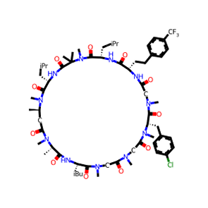 CCC(C)[C@@H]1NC(=O)[C@H](C)N(C)C(=O)C[C@@H](C)N(C)C(=O)[C@H](CC(C)C)NC(=O)C(C)(C)N(C)C(=O)[C@H](CC(C)C)NC(=O)[C@H](CCc2ccc(C(F)(F)F)cc2)NC(=O)CN(C)C(=O)[C@H](Cc2ccc(Cl)cc2)N(C)C(=O)CN(C)C(=O)CN(C)C1=O